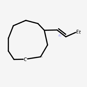 CC/C=C/C1C[CH]CCCCCCC1